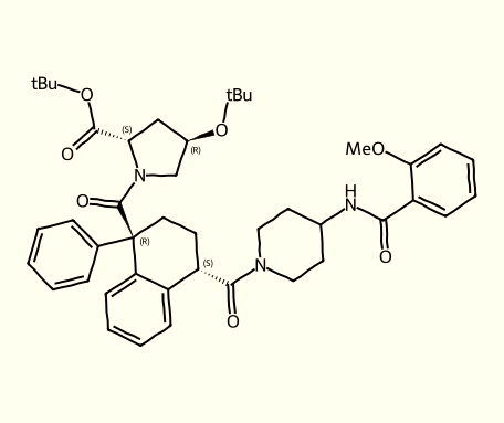 COc1ccccc1C(=O)NC1CCN(C(=O)[C@H]2CC[C@@](C(=O)N3C[C@H](OC(C)(C)C)C[C@H]3C(=O)OC(C)(C)C)(c3ccccc3)c3ccccc32)CC1